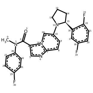 CN(C(=O)c1cnc2ccc(N3CCC[C@H]3c3cc(F)ccc3F)cn12)c1ccc(F)cc1